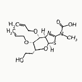 C=CCO[C@@H]1[C@H]2N=C(N(C)C(=O)O)S[C@H]2O[C@H](CCO)[C@@H]1OCC=C